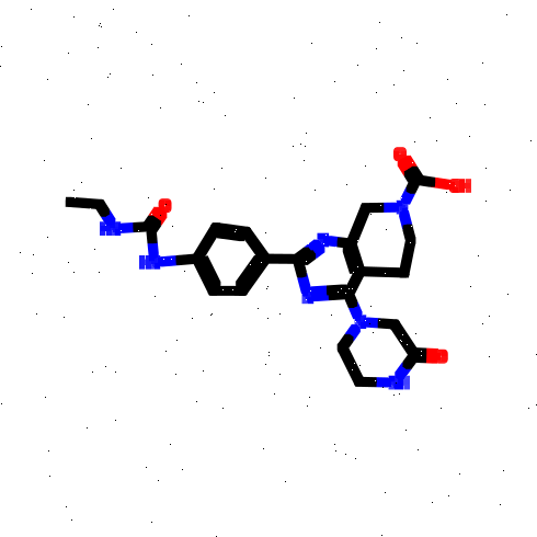 CCNC(=O)Nc1ccc(-c2nc3c(c(N4CCNC(=O)C4)n2)CCN(C(=O)O)C3)cc1